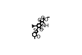 CCOC(=O)c1c[nH]c2c(OC)c(-c3cc4c(s3)CCC(C)C4=O)c(C3CC3)cc2c1=O